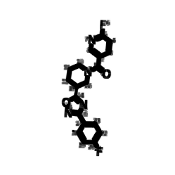 O=C(c1ccc(F)nc1)N1CCC[C@H](c2nc(-c3ccc(F)cc3)no2)C1